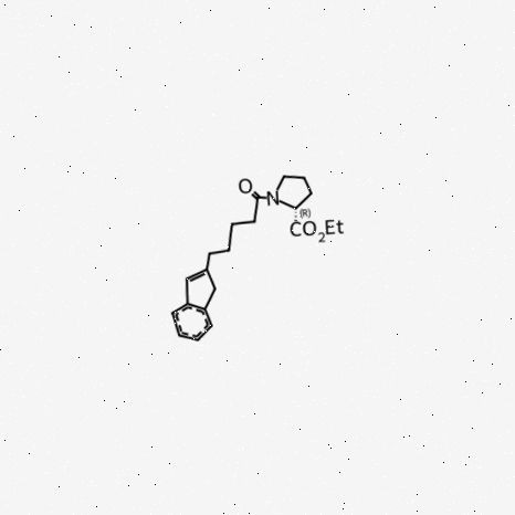 CCOC(=O)[C@H]1CCCN1C(=O)CCCCC1=Cc2ccccc2C1